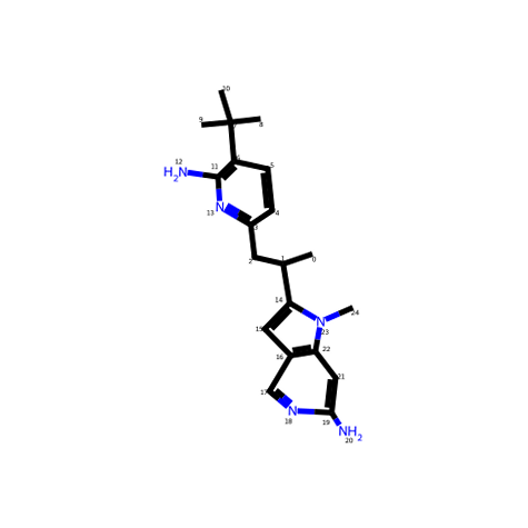 CC(Cc1ccc(C(C)(C)C)c(N)n1)c1cc2cnc(N)cc2n1C